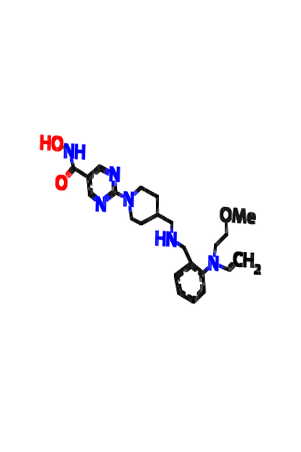 C=CN(CCOC)c1ccccc1CNCC1CCN(c2ncc(C(=O)NO)cn2)CC1